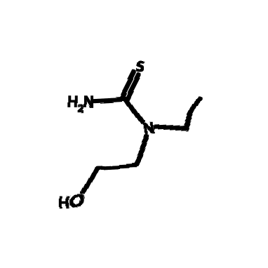 CCN(CCO)C(N)=S